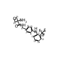 NC1(C(=O)NCc2ccc(Nc3ccccc3C(F)(F)F)cc2)COC1